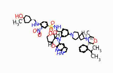 CC(C)c1ccccc1[C@H]1COC[C@H](C)N1C1CC2(CCN(c3ccc(C(=O)NS(=O)(=O)c4ccc(NC[C@H]5CC[C@](C)(O)CC5)c([N+](=O)[O-])c4)c(N4c5cc6cc[nH]c6nc5O[C@@H]5CCOC[C@H]54)c3)CC2)C1